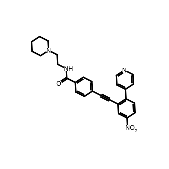 O=C(NCCN1CCCCC1)c1ccc(C#Cc2cc([N+](=O)[O-])ccc2-c2ccncc2)cc1